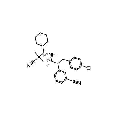 C[C@H](N[C@@H](C1CCCCC1)C(C)(C)C#N)C(Cc1ccc(Cl)cc1)c1cccc(C#N)c1